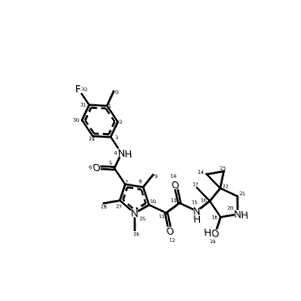 Cc1cc(NC(=O)c2c(C)c(C(=O)C(=O)NC3(C)C(O)NCC34CC4)n(C)c2C)ccc1F